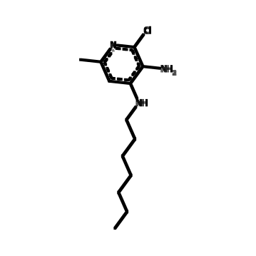 CCCCCCCNc1cc(C)nc(Cl)c1N